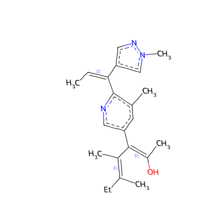 C/C=C(/c1cnn(C)c1)c1ncc(C(=C(\C)O)/C(C)=C(\C)CC)cc1C